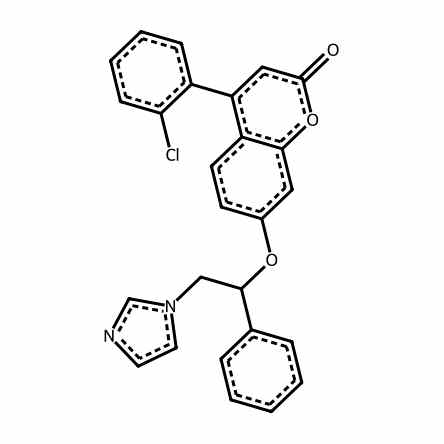 O=c1cc(-c2ccccc2Cl)c2ccc(OC(Cn3ccnc3)c3ccccc3)cc2o1